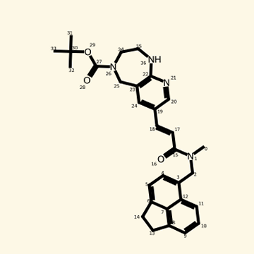 CN(Cc1ccc2c3c(cccc13)CC2)C(=O)/C=C/c1cnc2c(c1)CN(C(=O)OC(C)(C)C)CCN2